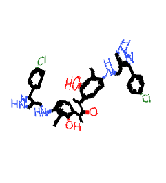 Cc1c(NCc2c[nH]nc2-c2ccc(Cl)cc2)ccc(C(C)C(=O)C(C)c2ccc(NCc3c[nH]nc3-c3ccc(Cl)cc3)c(C)c2O)c1O